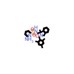 Cc1cc(C)c(CN2Cc3ccccc3C2(C)C(=O)NS(=O)(=O)c2cccc(N)n2)c(C)c1